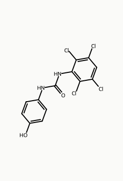 O=C(Nc1ccc(O)cc1)Nc1c(Cl)c(Cl)cc(Cl)c1Cl